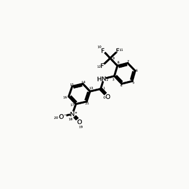 O=C(Nc1ccccc1C(F)(F)F)c1cccc([N+](=O)[O-])c1